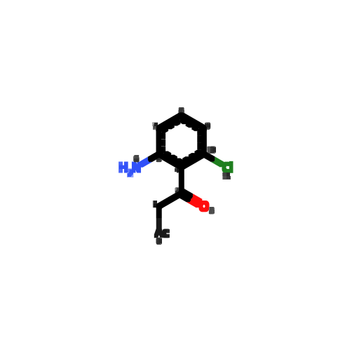 CC(=O)CC(=O)c1c(N)cccc1Cl